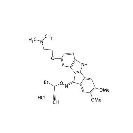 C#CC(CC)ON=C1c2cc(OC)c(OC)cc2-c2[nH]c3ccc(OCCN(C)C)cc3c21.Cl